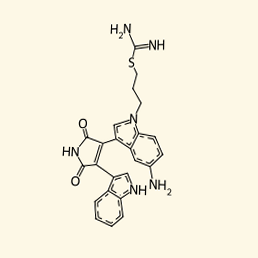 N=C(N)SCCCn1cc(C2=C(c3c[nH]c4ccccc34)C(=O)NC2=O)c2cc(N)ccc21